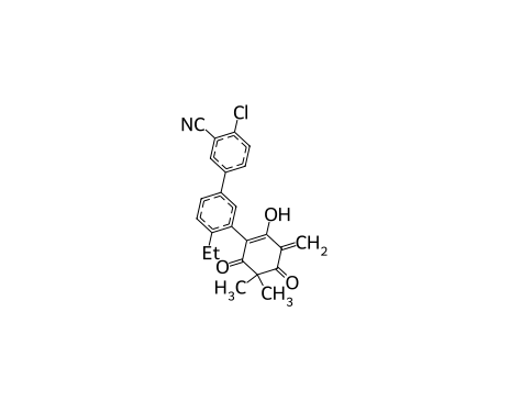 C=C1C(=O)C(C)(C)C(=O)C(c2cc(-c3ccc(Cl)c(C#N)c3)ccc2CC)=C1O